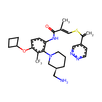 C=C(S/C=C(\C)C(=O)Nc1ccc(OC2CCC2)c(C(F)(F)F)c1N1CCC[C@@H](CN)C1)c1ccnnc1